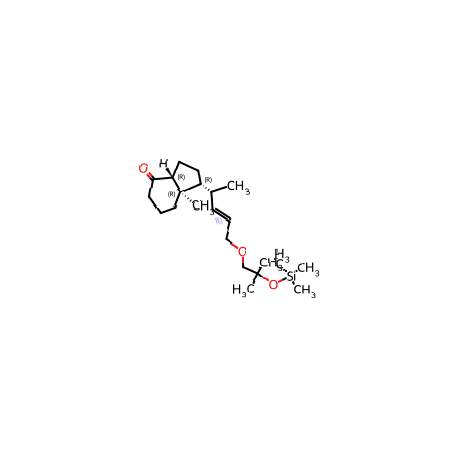 CC(/C=C/COCC(C)(C)O[Si](C)(C)C)[C@H]1CC[C@H]2C(=O)CCC[C@]12C